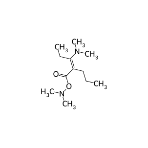 CCCC(C(=O)ON(C)C)=C(CC)N(C)C